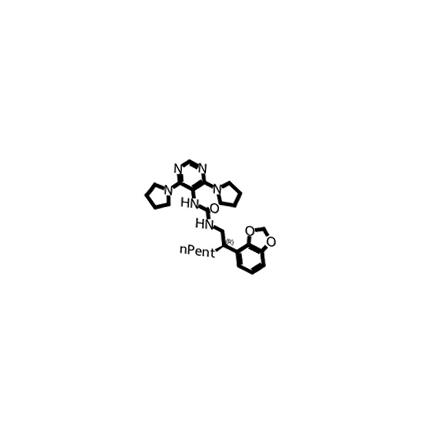 CCCCC[C@@H](CNC(=O)Nc1c(N2CCCC2)ncnc1N1CCCC1)c1cccc2c1OCO2